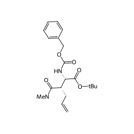 C=CC[C@H](C(=O)NC)[C@H](NC(=O)OCc1ccccc1)C(=O)OC(C)(C)C